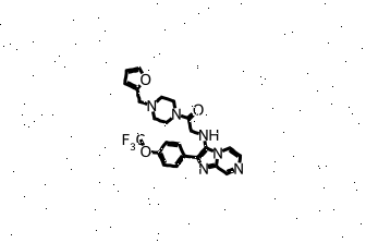 O=C(CNc1c(-c2ccc(OC(F)(F)F)cc2)nc2cnccn12)N1CCN(Cc2ccco2)CC1